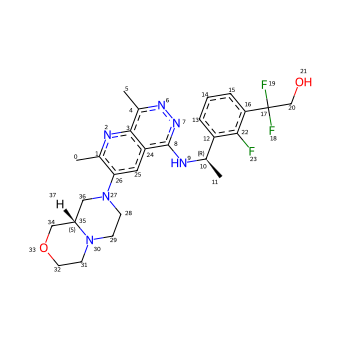 Cc1nc2c(C)nnc(N[C@H](C)c3cccc(C(F)(F)CO)c3F)c2cc1N1CCN2CCOC[C@@H]2C1